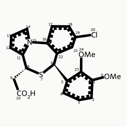 COc1cccc([C@H]2S[C@H](CC(=O)O)c3cccn3-c3ccc(Cl)cc32)c1OC